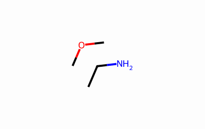 CCN.COC